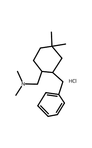 CN(C)CC1CCC(C)(C)CC1Cc1ccccc1.Cl